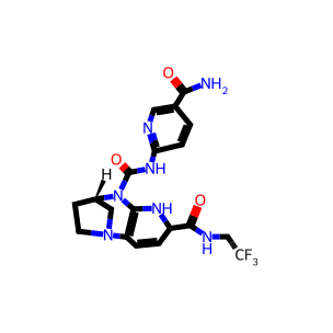 NC(=O)c1ccc(NC(=O)N2C3=C(C=CC(C(=O)NCC(F)(F)F)N3)N3CC[C@H]2C3)nc1